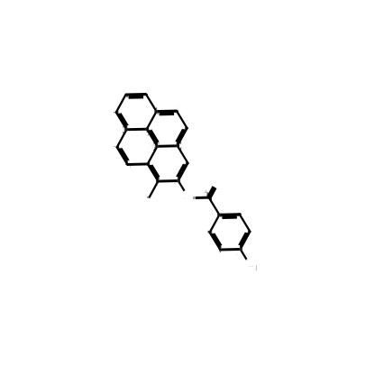 Cc1c(OC(=O)c2ccc(Br)cc2)cc2ccc3cccc4ccc1c2c34